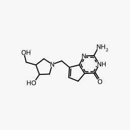 Nc1nc2c(c(=O)[nH]1)CC=C2CN1CC(O)C(CO)C1